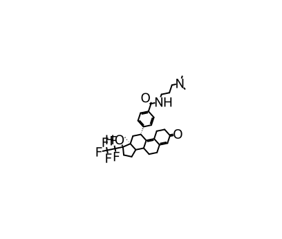 CN(C)CCCNC(=O)c1ccc([C@H]2C[C@@]3(C)C(CC[C@]3(O)C(F)(F)C(F)(F)F)C3CCC4=CC(=O)CCC4=C32)cc1